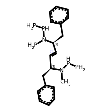 CN(PP)[C@H](/C=C/[C@H](Cc1ccccc1)N(P)PP)Cc1ccccc1